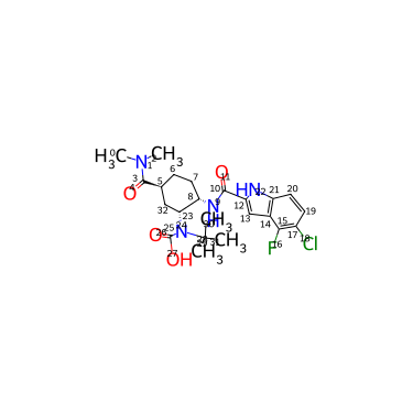 CN(C)C(=O)[C@H]1CC[C@H](NC(=O)c2cc3c(F)c(Cl)ccc3[nH]2)[C@H](N(C(=O)O)C(C)(C)C)C1